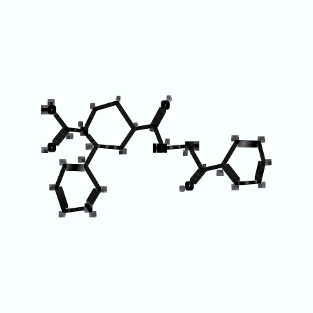 O=C(NNC(=O)C1CCN(C(=O)O)C(c2cccnc2)C1)c1ccccc1